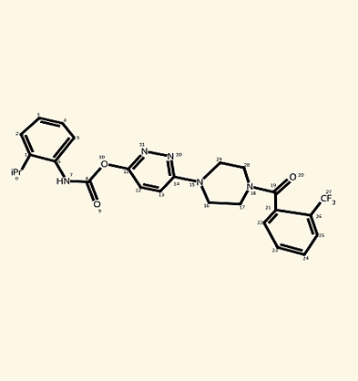 CC(C)c1ccccc1NC(=O)Oc1ccc(N2CCN(C(=O)c3ccccc3C(F)(F)F)CC2)nn1